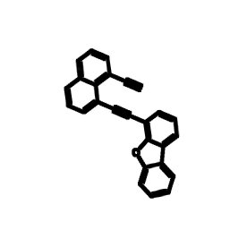 C#Cc1cccc2cccc(C#Cc3cccc4c3oc3ccccc34)c12